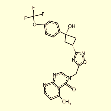 Cc1ccnc2ncn(Cc3nc([C@H]4C[C@](O)(c5ccc(OC(F)(F)F)cc5)C4)no3)c(=O)c12